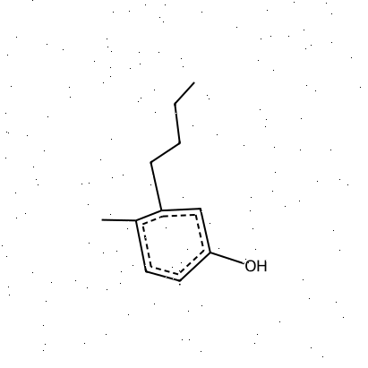 CCCCc1cc(O)[c]cc1C